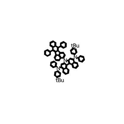 CC(C)(C)c1ccc(N(c2ccccc2)c2cc3c(c4ccccc24)c2c4ccccc4c(N(c4ccccc4)c4ccc(C(C)(C)C)cc4)cc2n3-c2ccc3c4c(cccc24)-c2c-3c(-c3ccccc3)c3ccccc3c2C2=CC=CCC2)cc1